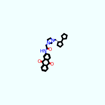 O=C(CN1CCN(C[C@H]2CCCC2C2CCCC2)C1)Nc1ccc2c(c1)C(=O)c1ccccc1C2=O